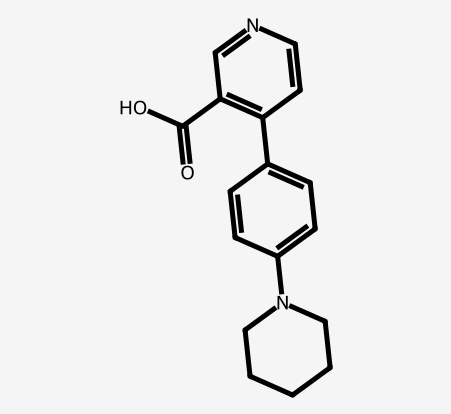 O=C(O)c1cnccc1-c1ccc(N2CCCCC2)cc1